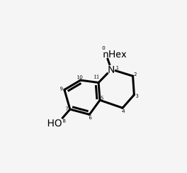 CCCCCCN1CCCc2cc(O)ccc21